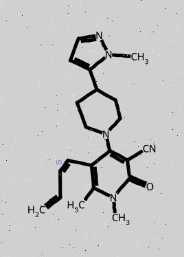 C=C/C=C\c1c(N2CCC(c3ccnn3C)CC2)c(C#N)c(=O)n(C)c1C